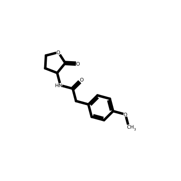 COc1ccc(CC(=O)NC2CCOC2=O)cc1